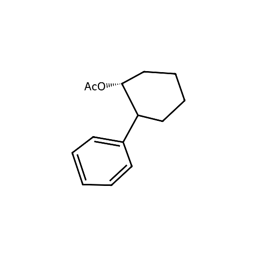 CC(=O)O[C@@H]1CCCCC1c1ccccc1